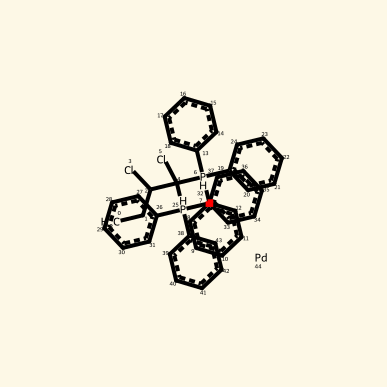 CCC(Cl)C(Cl)([PH](c1ccccc1)(c1ccccc1)c1ccccc1)[PH](c1ccccc1)(c1ccccc1)c1ccccc1.[Pd]